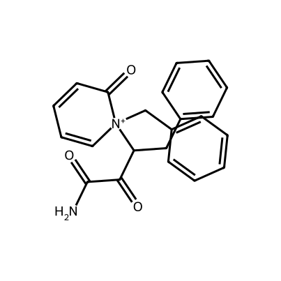 NC(=O)C(=O)C(Cc1ccccc1)[N+]1(Cc2ccccc2)C=CC=CC1=O